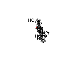 CC(C)C1=C2[C@H]3CC[C@@H]4[C@@]5(C)CC[C@H](OC(=O)CC(C)(C)C(=O)O)C(C)(C)[C@@H]5CC[C@@]4(C)[C@]3(C)CC[C@@]2([C@H](O)CNc2ccccc2)CC1=O